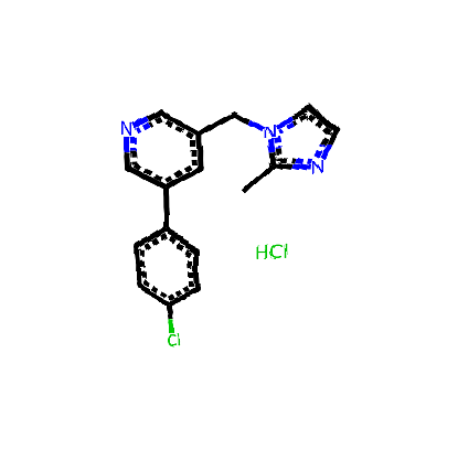 Cc1nccn1Cc1cncc(-c2ccc(Cl)cc2)c1.Cl